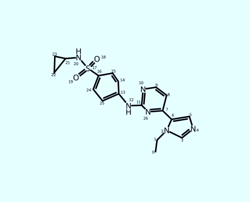 CCn1cncc1-c1ccnc(Nc2ccc(S(=O)(=O)NC3CC3)cc2)n1